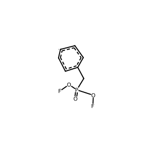 O=P(Cc1cc[c]cc1)(OF)OF